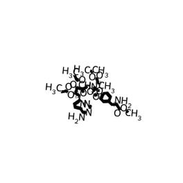 CCC(=O)O[C@H]1[C@H](c2ccc3c(N)ncnn23)O[C@](C)(COP(=O)(N[C@@H](C)C(=O)OC(C)C)Oc2ccc(C[C@H](N)C(=O)OC)cc2)[C@H]1OC(=O)CC